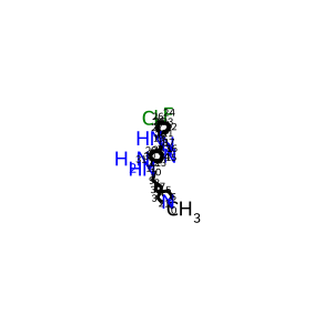 CN1CCC2(CC1)CC(CCNc1cc3ncnc(Nc4ccc(F)c(Cl)c4)c3cc1N)C2